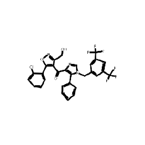 O=C(c1ncn(Cc2cc(C(F)(F)F)cc(C(F)(F)F)c2)c1-c1ccccc1)c1c(CO)noc1-c1ccccc1Cl